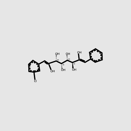 OC(=Cc1ccccc1)[C@@H](O)[C@@H](O)[C@H](O)[C@@H](O)C(O)=Cc1cccc(Cl)c1